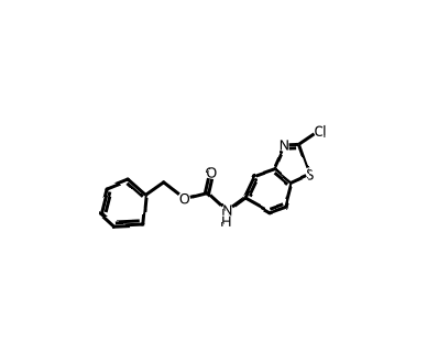 O=C(Nc1ccc2sc(Cl)nc2c1)OCc1ccccc1